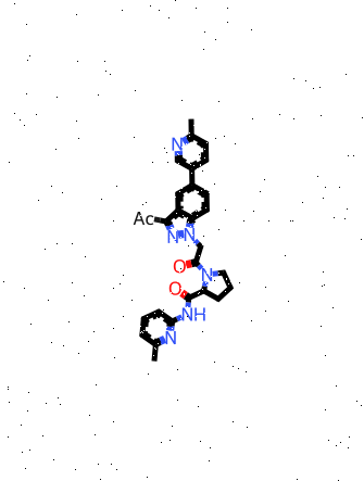 CC(=O)c1nn(CC(=O)N2CCCC2C(=O)Nc2cccc(C)n2)c2ccc(-c3ccc(C)nc3)cc12